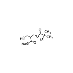 CCC(C)(C)C(=O)OCC(CO)C(=O)NC